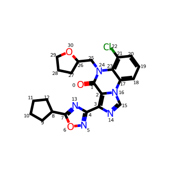 O=c1c2c(-c3noc(C4CCCC4)n3)ncn2c2cccc(Cl)c2n1CC1CCCO1